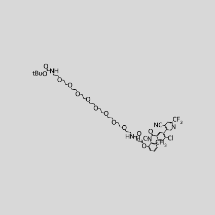 Cc1cccc(OCCC(=O)NCCOCCOCCOCCOCCOCCOCCOCCOCCNC(=O)OC(C)(C)C)c1N(C)C(=O)c1ccc(Cl)c(-c2cnc(C(F)(F)F)cc2C#N)c1